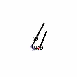 CCCCC/C=C\C/C=C\CCCCCCCC(=O)OCCCCCCCCCCCCCCCCCCC.CCCCCCCCCCCCCCCCCCCC(=O)O